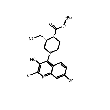 CC(C)(C)OC(=O)N1CCN(c2c(C#N)c(Cl)nc3cc(Br)ccc23)C[C@@H]1CC#N